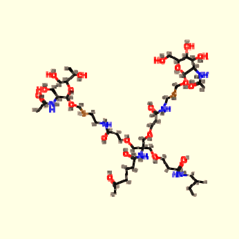 CCC(C)CNC(=O)CCOCC(COCCC(=O)NCCSCOC(OC(CO)[C@@H](C)O)[C@H](CO)NC(C)=O)(COCCC(=O)NCSCOC1OC(CO)C(O)C(O)C1NC(C)=O)NC(=O)CCCC(C)=O